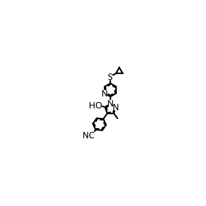 Cc1nn(-c2ccc(SC3CC3)cn2)c(O)c1-c1ccc(C#N)cc1